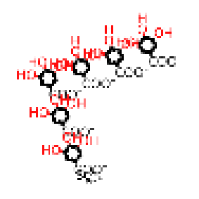 O=C([O-])c1cc(O)c(O)c(O)c1.O=C([O-])c1cc(O)c(O)c(O)c1.O=C([O-])c1cc(O)c(O)c(O)c1.O=C([O-])c1cc(O)c(O)c(O)c1.O=C([O-])c1cc(O)c(O)c(O)c1.O=C([O-])c1cc(O)c(O)c(O)c1.[La+3].[Sc+3]